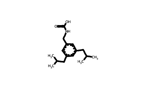 CC(C)Cc1cc(CNC(=O)O)cc(CC(C)C)c1